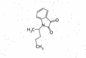 CCCC(C)N1C(=O)C(=O)c2ccccc21